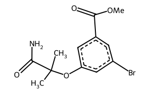 COC(=O)c1cc(Br)cc(OC(C)(C)C(N)=O)c1